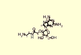 NCCNC(=O)CO[C@@H]1[C@H](O)[C@@H](CO)O[C@H]1n1cnc2c(N)nc(N)nc21